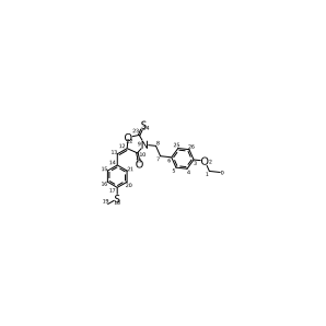 CCOc1ccc(CCN2C(=O)/C(=C\c3ccc(SC)cc3)OC2=S)cc1